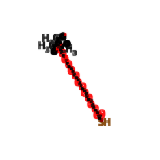 CC(c1ccccc1)c1cc(C(C)c2ccccc2)c(OCCOCCOCCOCCOCCOCCOCCOCCOCCOCCOCCOCCOC(=O)CCS)c(C(C)c2ccccc2)c1